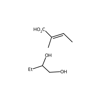 CC=C(C)C(=O)O.CCC(O)CO